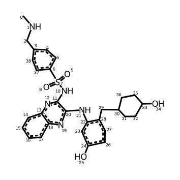 CNCc1ccc(S(=O)(=O)Nc2nc3ccccc3nc2Nc2cc(O)ccc2CC2CCC(O)CC2)cc1